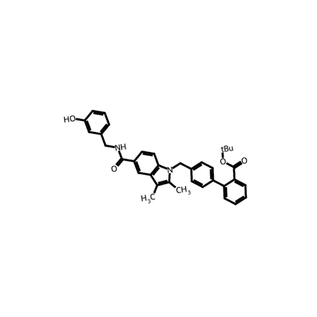 Cc1c(C)n(Cc2ccc(-c3ccccc3C(=O)OC(C)(C)C)cc2)c2ccc(C(=O)NCc3cccc(O)c3)cc12